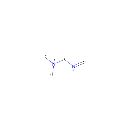 [CH]=NCN(C)C